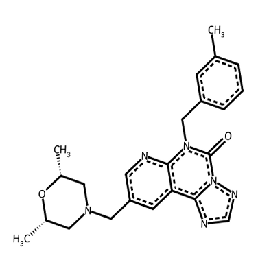 Cc1cccc(Cn2c(=O)n3ncnc3c3cc(CN4C[C@@H](C)O[C@@H](C)C4)cnc32)c1